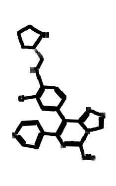 CSc1nc(-c2ccncc2)c(-c2ccc(NC[C@@H]3CCCN3)c(Cl)c2)c2nncn12